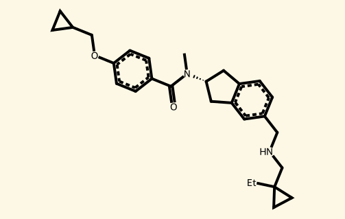 CCC1(CNCc2ccc3c(c2)C[C@H](N(C)C(=O)c2ccc(OCC4CC4)cc2)C3)CC1